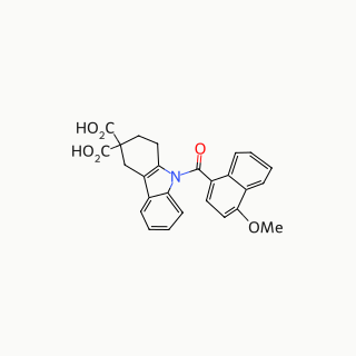 COc1ccc(C(=O)n2c3c(c4ccccc42)CC(C(=O)O)(C(=O)O)CC3)c2ccccc12